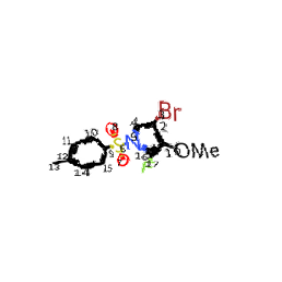 COc1c(Br)cn(S(=O)(=O)c2ccc(C)cc2)c1F